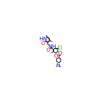 CC1=C(C(=O)NCc2c(C)cc(C)[nH]c2=O)C=C(Cl)C2O[C@](C)(C3CCC(N(C)C)CC3)OC12